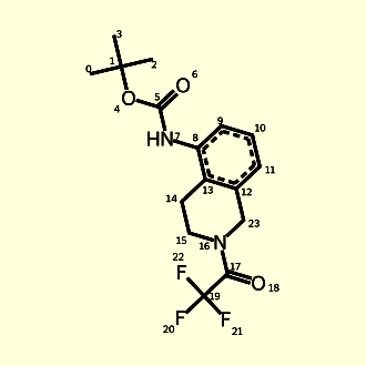 CC(C)(C)OC(=O)Nc1cccc2c1CCN(C(=O)C(F)(F)F)C2